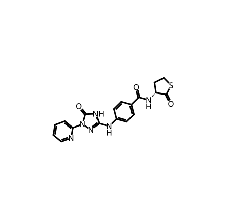 O=C(N[C@@H]1CCSC1=O)c1ccc(Nc2nn(-c3ccccn3)c(=O)[nH]2)cc1